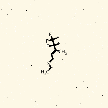 C[CH]SC/C=C(\C)C(F)(F)C(F)(F)F